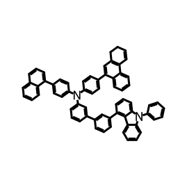 C1=Cc2c(cc(-c3ccc(N(c4ccc(-c5cccc6ccccc56)cc4)c4cccc(-c5cccc(-c6cccc7c6c6ccccc6n7-c6ccccc6)c5)c4)cc3)c3ccccc23)CC1